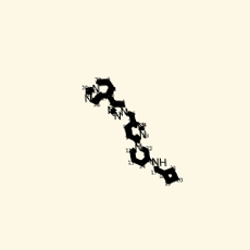 c1cc(-c2cn(Cc3ccc(N4CCC[C@@H](NCC5CCC5)C4)nn3)nn2)c2cncn2c1